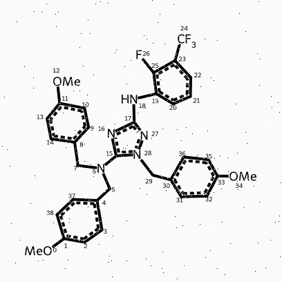 COc1ccc(CN(Cc2ccc(OC)cc2)c2nc(Nc3cccc(C(F)(F)F)c3F)nn2Cc2ccc(OC)cc2)cc1